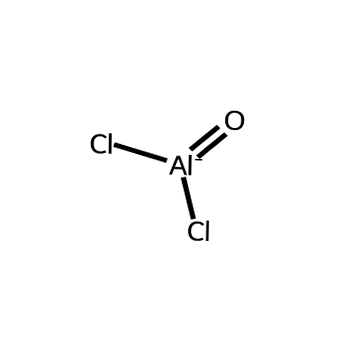 [O]=[Al-]([Cl])[Cl]